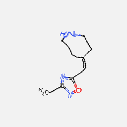 Cc1noc(C=C2CCNCC2)n1